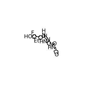 CCc1cc(O)c(F)cc1-c1ccc2c(-c3nc4c([nH]3)CCN(C(=O)NCC3CCOCC3)C4)n[nH]c2c1